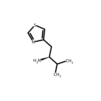 CC(C)[C@@H](N)Cc1cscn1